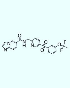 CC(F)(F)Oc1cccc(S(=O)(=O)c2ccc(CNC(=O)c3ccc4nccn4c3)nc2)c1